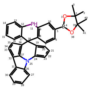 CC1(C)OB(c2ccc3c(c2)Pc2ccccc2C32c3ccccc3-n3c4ccccc4c4cccc2c43)OC1(C)C